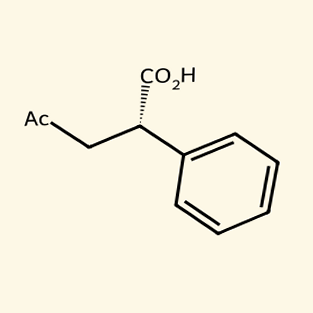 CC(=O)C[C@H](C(=O)O)c1ccccc1